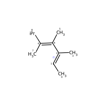 C/[C]=C(\C)C(C)=C(C)C(C)C